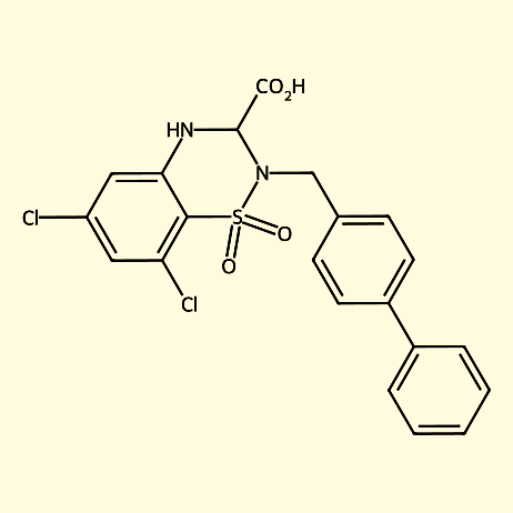 O=C(O)C1Nc2cc(Cl)cc(Cl)c2S(=O)(=O)N1Cc1ccc(-c2ccccc2)cc1